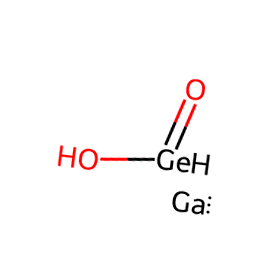 [Ga].[O]=[GeH][OH]